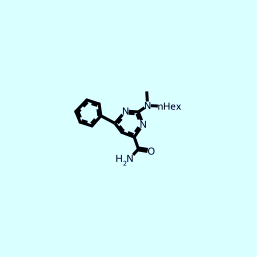 CCCCCCN(C)c1nc(C(N)=O)cc(-c2ccccc2)n1